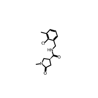 Cc1cccc(CNC(=O)[C@H]2CC(=O)N(C)C2)c1Cl